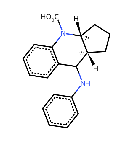 O=C(O)N1c2ccccc2C(Nc2ccccc2)[C@H]2CCC[C@H]21